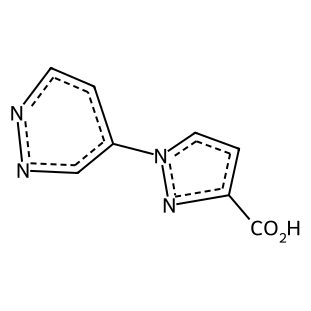 O=C(O)c1ccn(-c2ccnnc2)n1